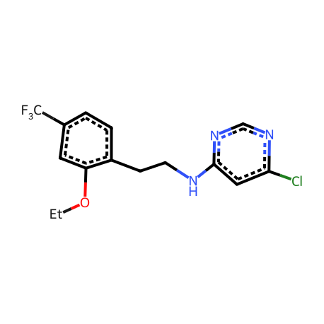 CCOc1cc(C(F)(F)F)ccc1CCNc1cc(Cl)ncn1